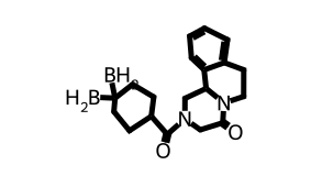 BC1(B)CCC(C(=O)N2CC(=O)N3CCc4ccccc4C3C2)CC1